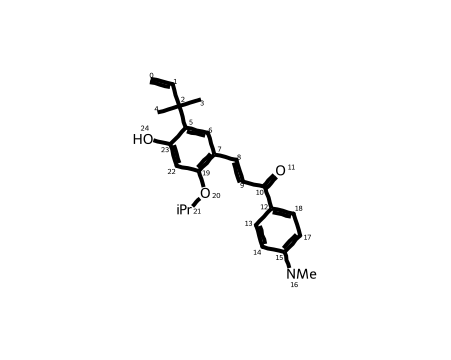 C=CC(C)(C)c1cc(C=CC(=O)c2ccc(NC)cc2)c(OC(C)C)cc1O